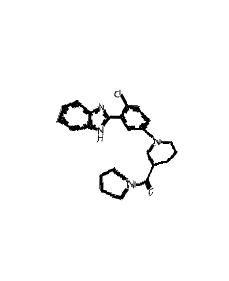 O=C(C1CCCN(c2ccc(Cl)c(-c3nc4ccccc4[nH]3)c2)C1)N1CCCC1